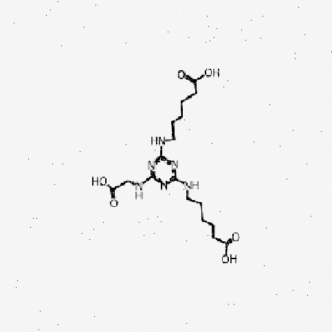 O=C(O)CCCCCNc1nc(NCCCCCC(=O)O)nc(NCC(=O)O)n1